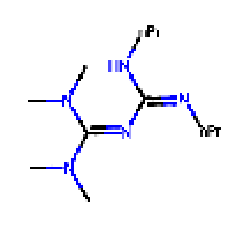 CCC/N=C(\N=C(N(C)C)N(C)C)NCCC